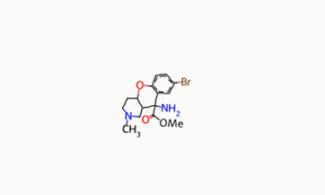 COC(=O)C1(N)c2cc(Br)ccc2OC2CCN(C)CC21